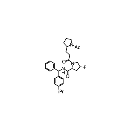 CC(=O)N1CCCC1CCC(=O)N1CC(F)CC1C(=O)NC(c1ccccc1)c1ccc(C(C)C)cc1